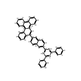 c1ccc(-c2nc(-c3ccccc3)nc(-c3ccc4cc(-c5cc6c7ccccc7c7ccccc7c6c6ccccc56)ccc4c3)n2)cc1